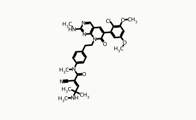 CNc1ncc2cc(-c3cc(OC)cc(OC)c3Cl)c(=O)n(CCc3ccc(N(C)C(=O)/C(C#N)=C/C(C)(C)NC)cc3)c2n1